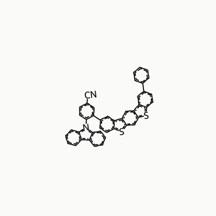 N#Cc1ccc(-n2c3ccccc3c3ccccc32)c(-c2ccc3sc4cc5sc6ccc(-c7ccccc7)cc6c5cc4c3c2)c1